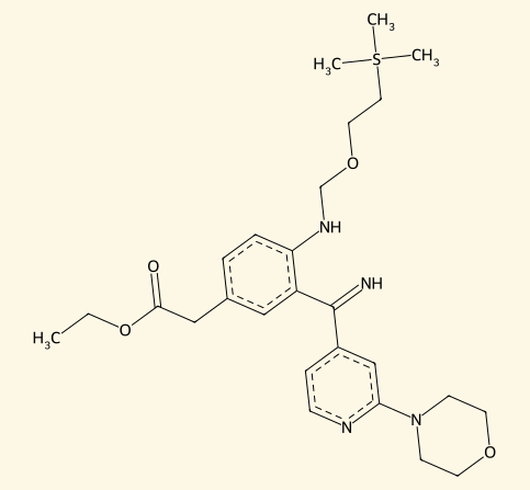 CCOC(=O)Cc1ccc(NCOCCS(C)(C)C)c(C(=N)c2ccnc(N3CCOCC3)c2)c1